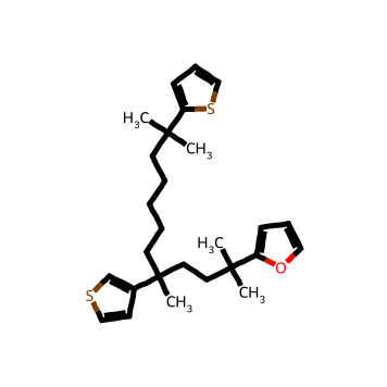 CC(C)(CCC(C)(CCCCCC(C)(C)c1cccs1)c1ccsc1)c1ccco1